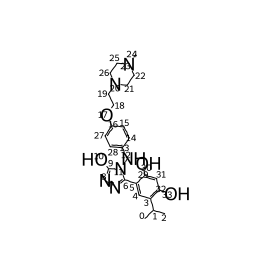 CC(C)c1cc(-c2nnc(O)n2Nc2ccc(OCCN3CCN(C)CC3)cc2)c(O)cc1O